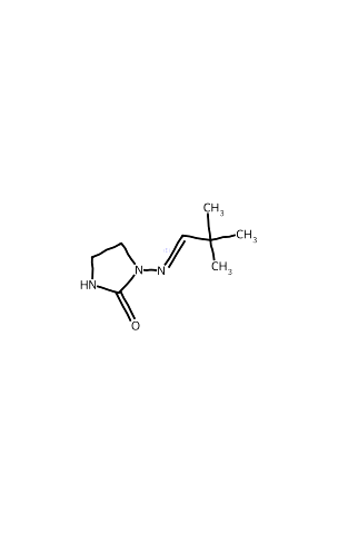 CC(C)(C)/C=N/N1CCNC1=O